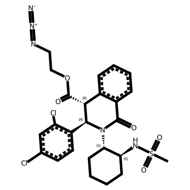 CS(=O)(=O)N[C@H]1CCCC[C@@H]1N1C(=O)c2ccccc2[C@@H](C(=O)OCCN=[N+]=[N-])[C@@H]1c1ccc(Cl)cc1Cl